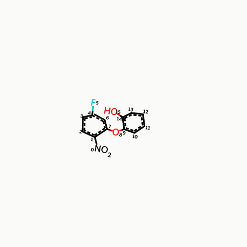 O=[N+]([O-])c1ccc(F)cc1Oc1ccccc1O